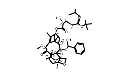 CO[C@H]1C(=O)[C@]2(C)CC[C@H]3OC[C@@]3(OC(C)=O)[C@H]2[C@H](OC(O)c2ccccc2)[C@]2(O)C[C@H](OC(=O)[C@H](O)[C@H](CC(C)C)NC(=O)OC(C)(C)C)C(C)=C1C2(C)C